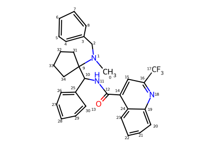 CN(Cc1ccccc1)C1(C(NC(=O)c2cc(C(F)(F)F)nc3ccccc23)c2ccccc2)CCCC1